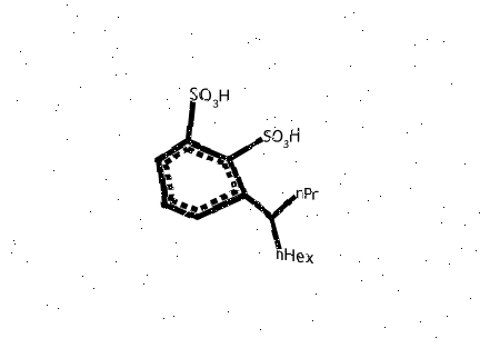 CCCCCCC(CCC)c1cccc(S(=O)(=O)O)c1S(=O)(=O)O